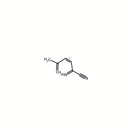 C=C(C)/C=C\C(=N)C#N